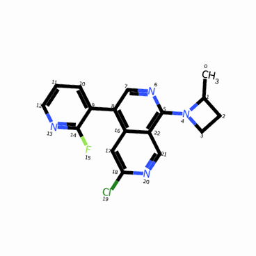 CC1CCN1c1ncc(-c2cccnc2F)c2cc(Cl)ncc12